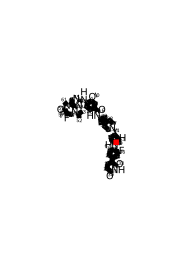 COc1cc(C(=O)NC2CC3(CCN(C[C@H]4C[C@@H]5C[C@H]4CN5c4ccc(C5CCC(=O)NC5=O)cc4F)CC3)C2)ccc1Nc1ncc2c(n1)N(C(C)C)CC(F)(F)C(=O)N2C